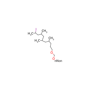 CCCCCCCCCOCOCCCC(C)CC(C)CC(C)CC(C)I